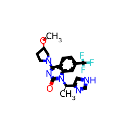 CO[C@@H]1CCN(c2nc(=O)n([C@@H](C)c3c[nH]cn3)c3cc(C(F)(F)F)ccc23)C1